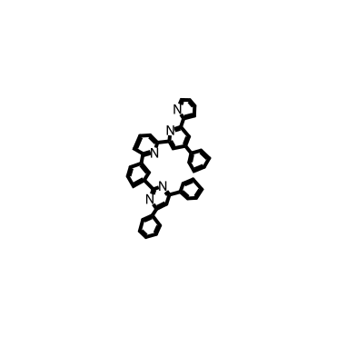 c1ccc(-c2cc(-c3ccccn3)nc(-c3cccc(-c4cccc(-c5nc(-c6ccccc6)cc(-c6ccccc6)n5)c4)n3)c2)cc1